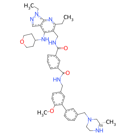 CCc1nc2c(cnn2CC)c(NC2CCOCC2)c1CNC(=O)c1cccc(C(=O)NCc2ccc(OC)c(-c3cccc(CN4CCN[C@@H](C)C4)c3)c2)c1